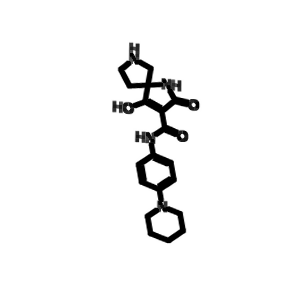 O=C(Nc1ccc(N2CCCCC2)cc1)C1=C(O)C2(CCNC2)NC1=O